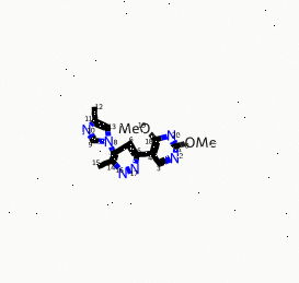 COc1ncc(-c2cc(-n3cnc(C)c3)c(C)nn2)c(OC)n1